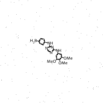 Bc1ccc(Nc2ncnc(Nc3cc(OC)c(OC)c(OC)c3)n2)cc1